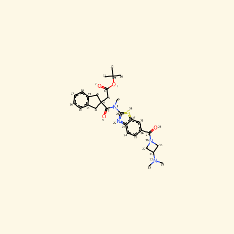 CN(C(=O)C1(CC(=O)OC(C)(C)C)Cc2ccccc2C1)c1nc2ccc(C(=O)N3CC(N(C)C)C3)cc2s1